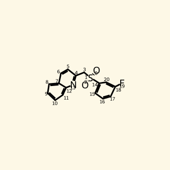 O=S(=O)(Cc1ccc2ccccc2n1)c1cccc(F)c1